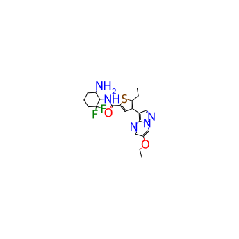 CCOc1cnc2c(-c3cc(C(=O)NC4C(N)CCCC4(F)F)sc3CC)cnn2c1